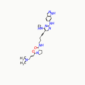 CCNc1nc(Nc2ccc3cn[nH]c3c2)ncc1C#CCCCNC(=O)[C@@H]1CCCN1C(=O)/C=C/CN(C)C